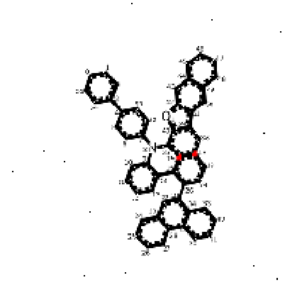 c1ccc(-c2ccc(N(c3ccccc3-c3ccccc3-c3cc4ccccc4c4ccccc34)c3cccc4c3oc3cc5ccccc5cc34)cc2)cc1